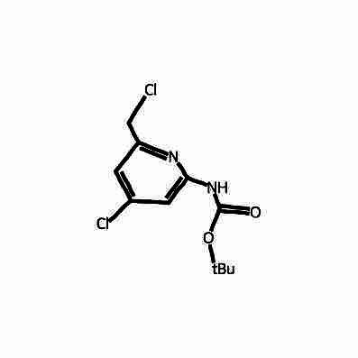 CC(C)(C)OC(=O)Nc1cc(Cl)cc(CCl)n1